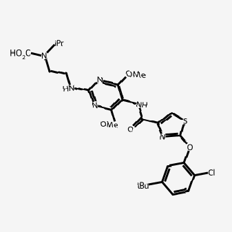 COc1nc(NCCN(C(=O)O)C(C)C)nc(OC)c1NC(=O)c1csc(Oc2cc(C(C)(C)C)ccc2Cl)n1